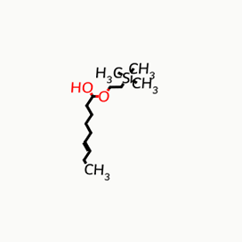 CCC=CCCCCC(O)OCC[Si](C)(C)C